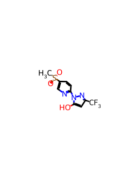 CS(=O)(=O)c1ccc(-n2nc(C(F)(F)F)cc2O)nc1